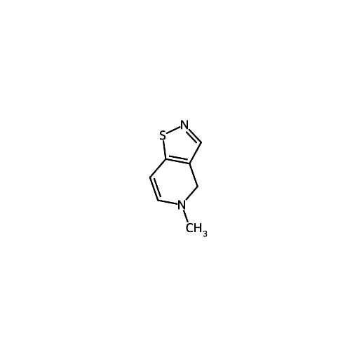 CN1C=Cc2sncc2C1